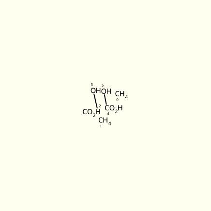 C.C.O=C(O)O.O=C(O)O